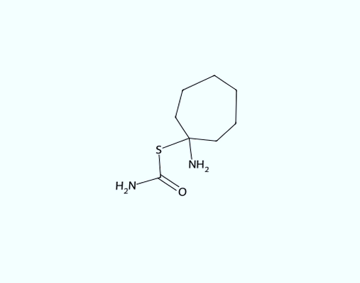 NC(=O)SC1(N)CCCCCC1